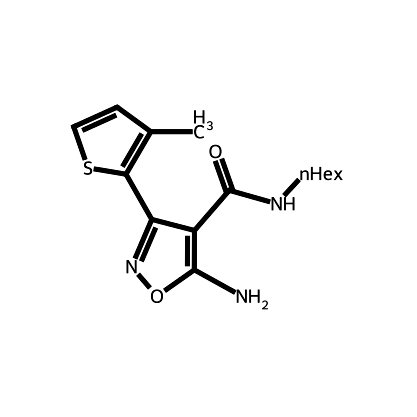 CCCCCCNC(=O)c1c(-c2sccc2C)noc1N